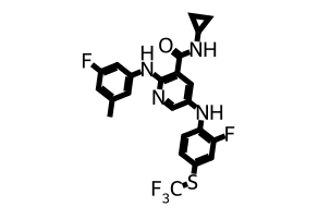 Cc1cc(F)cc(Nc2ncc(Nc3ccc(SC(F)(F)F)cc3F)cc2C(=O)NC2CC2)c1